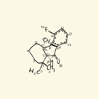 CC1(C)CCC[C@@]2(C)c3c(F)cccc3C(=O)[C@@H]12